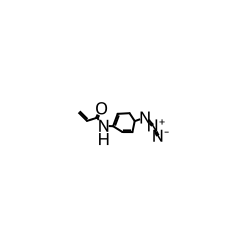 C=CC(=O)NC1=CCC(N=[N+]=[N-])C=C1